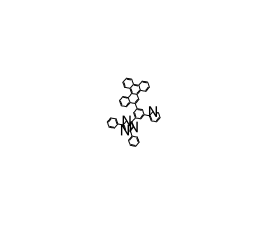 c1ccc(-c2nc(-c3ccccc3)nc(-c3cc(-c4ccccn4)cc(-c4cc5c6ccccc6c6ccccc6c5c5ccccc45)c3)n2)cc1